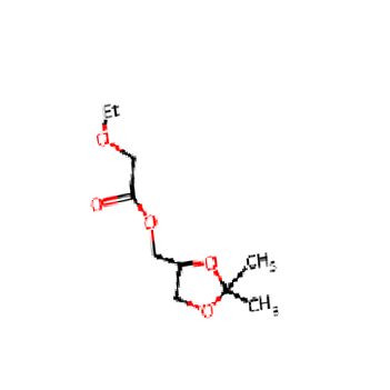 CCOCC(=O)OCC1COC(C)(C)O1